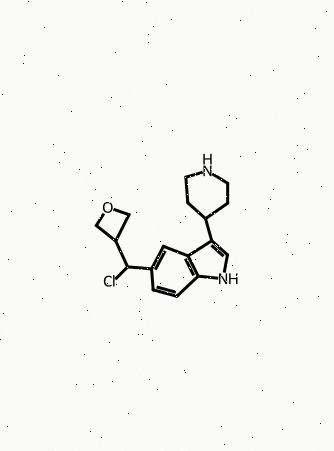 ClC(c1ccc2[nH]cc(C3CCNCC3)c2c1)C1COC1